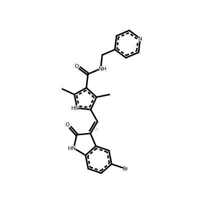 Cc1[nH]c(/C=C2\C(=O)Nc3ccc(Br)cc32)c(C)c1C(=O)NCc1ccncc1